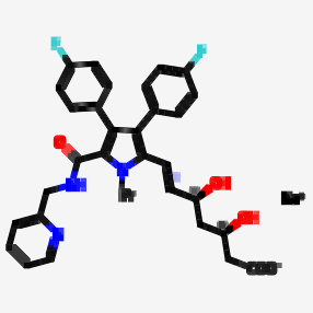 CC(C)n1c(/C=C/[C@@H](O)C[C@@H](O)CC(=O)[O-])c(-c2ccc(F)cc2)c(-c2ccc(F)cc2)c1C(=O)NCc1ccccn1.[Na+]